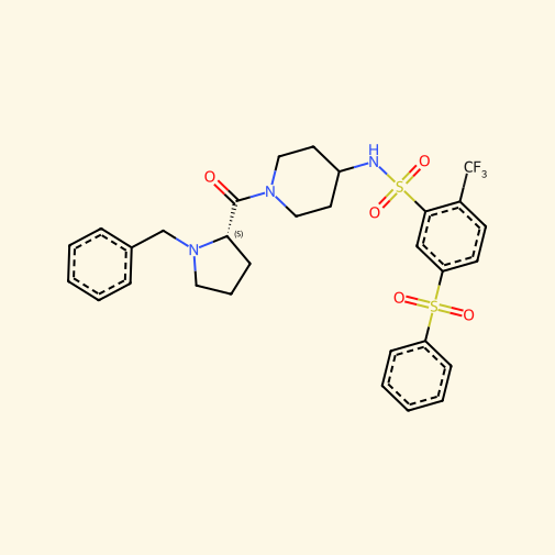 O=C([C@@H]1CCCN1Cc1ccccc1)N1CCC(NS(=O)(=O)c2cc(S(=O)(=O)c3ccccc3)ccc2C(F)(F)F)CC1